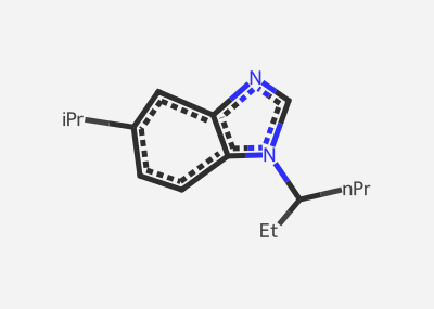 CCCC(CC)n1cnc2cc(C(C)C)ccc21